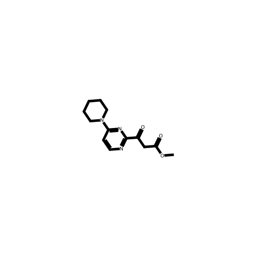 COC(=O)CC(=O)c1nccc(N2CCCCC2)n1